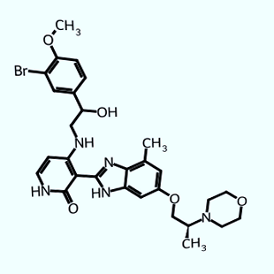 COc1ccc(C(O)CNc2cc[nH]c(=O)c2-c2nc3c(C)cc(OC[C@H](C)N4CCOCC4)cc3[nH]2)cc1Br